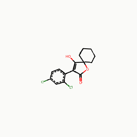 O=C1OC2(CCCCC2)C(O)=C1c1ccc(Cl)cc1Cl